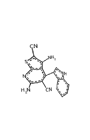 N#Cc1sc2nc(N)c(C#N)c(-c3c[nH]c4ccccc34)c2c1N